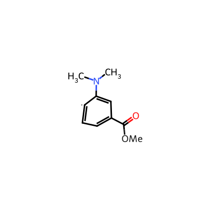 COC(=O)c1cc[c]c(N(C)C)c1